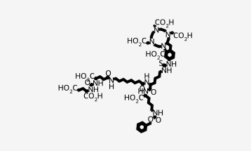 O=C(O)CCC(NC(=O)NC(CCC(=O)NCCCCCCCC(=O)NC(CCCCNC(=S)Nc1ccc(CC2CN(CC(=O)O)CCN(CC(=O)O)CCN(CC(=O)O)CCN2CC(=O)O)cc1)C(=O)NC(CCCCNC(=O)OCc1ccccc1)C(=O)O)C(=O)O)C(=O)O